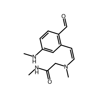 CNC(=O)CN(C)/C=C\c1cc(NC)ccc1C=O